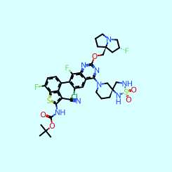 CC(C)(C)OC(=O)Nc1sc2c(F)ccc(-c3c(Cl)cc4c(N5CCC[C@]6(CNS(=O)(=O)N6)C5)nc(OC[C@@]56CCCN5C[C@H](F)C6)nc4c3F)c2c1C#N